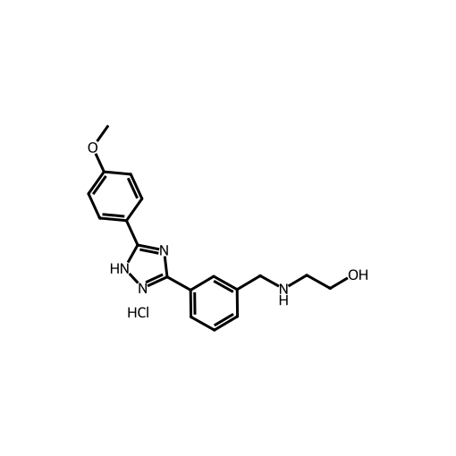 COc1ccc(-c2nc(-c3cccc(CNCCO)c3)n[nH]2)cc1.Cl